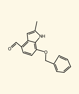 Cc1cc2c(C=O)ccc(OCc3ccccc3)c2[nH]1